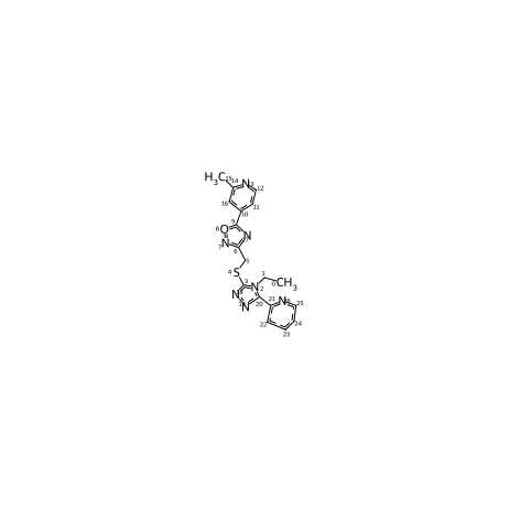 CCn1c(SCc2noc(-c3ccnc(C)c3)n2)nnc1-c1ccccn1